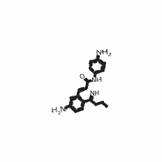 CCCC(=N)c1ccc(N)cc1C=CC(=O)Nc1ccc(N)cc1